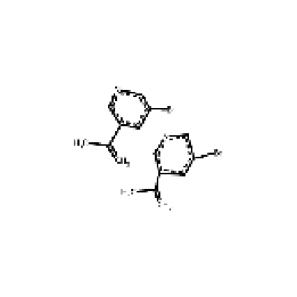 C=C(C)c1cncc(Br)c1.C=C(C)c1cncc(Br)c1